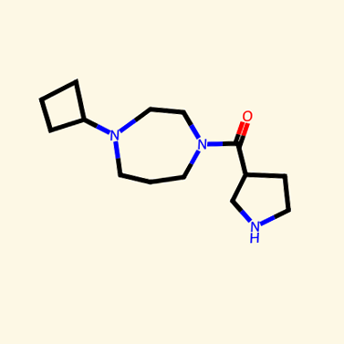 O=C(C1CCNC1)N1CCCN(C2CCC2)CC1